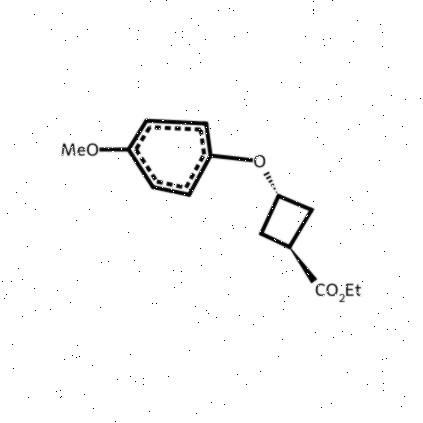 CCOC(=O)[C@H]1C[C@H](Oc2ccc(OC)cc2)C1